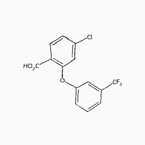 O=C(O)c1ccc(Cl)cc1Oc1cccc(C(F)(F)F)c1